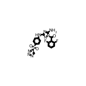 Nc1nc(Nc2ccc(S(=O)(=O)n3cnnn3)cc2)nn1C(=O)c1c(F)cccc1F